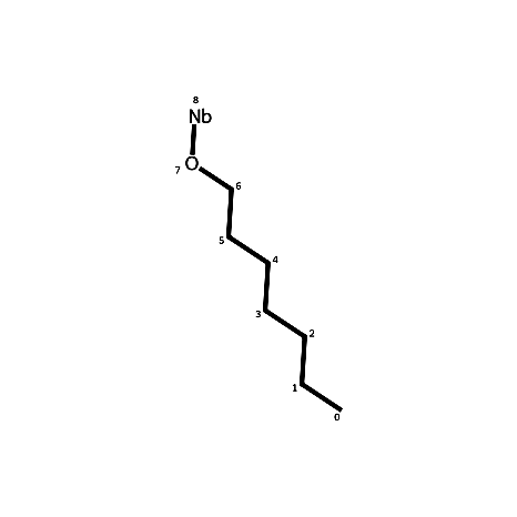 CCCCCCC[O][Nb]